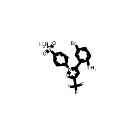 Cc1ccc(Br)cc1-c1cc(C(F)(F)F)nn1-c1ccc(S(N)(=O)=O)cc1